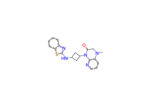 CN1CC(=O)N(C2CC(Nc3nc4ccccc4s3)C2)c2ncccc21